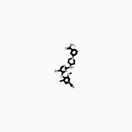 COc1cc(C#N)cc(C)c1Oc1nc(NC2CCN(c3cccc(C(N)=O)c3)CC2)ncc1Br